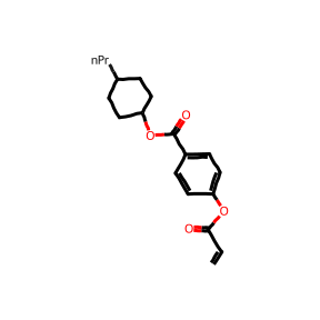 C=CC(=O)Oc1ccc(C(=O)OC2CCC(CCC)CC2)cc1